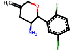 C=C1COC(c2cc(F)ccc2F)C(N)C1